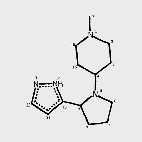 CN1CCC(N2CCCC2c2ccn[nH]2)CC1